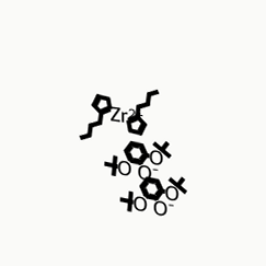 CC(C)(C)Oc1cccc(OC(C)(C)C)c1[O-].CC(C)(C)Oc1cccc(OC(C)(C)C)c1[O-].CCCCC1=[C]([Zr+2][C]2=C(CCCC)C=CC2)CC=C1